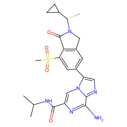 CC(C)NC(=O)c1cn2c(-c3cc4c(c(S(C)(=O)=O)c3)C(=O)N([C@@H](C)C3CC3)C4)cnc2c(N)n1